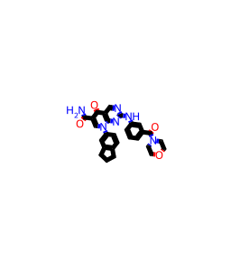 NC(=O)c1cn(-c2ccc3c(c2)CCC3)c2nc(Nc3cccc(C(=O)N4CCOCC4)c3)ncc2c1=O